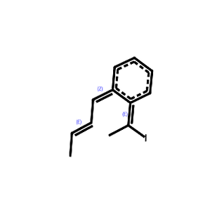 C/C=C/C=c1/cccc/c1=C(/C)I